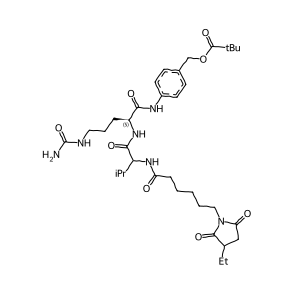 CCC1CC(=O)N(CCCCCC(=O)NC(C(=O)N[C@@H](CCCNC(N)=O)C(=O)Nc2ccc(COC(=O)C(C)(C)C)cc2)C(C)C)C1=O